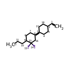 C=CC1CCC(=C2CCC(CCC)C(I)(I)C2)CC1